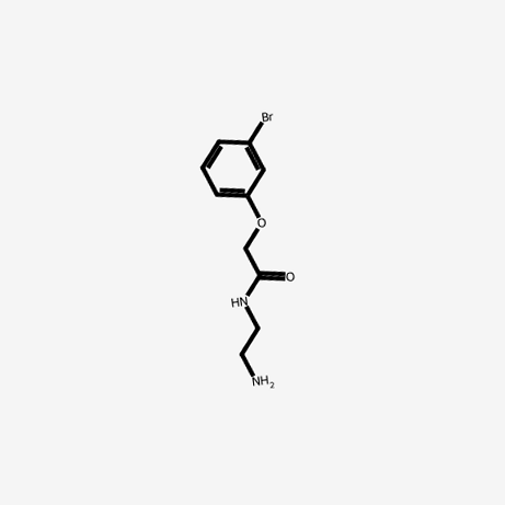 NCCNC(=O)COc1cccc(Br)c1